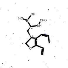 C=CC1=C(/C=C\C)[C@H](C[C@H](NC=O)B(O)O)CO1